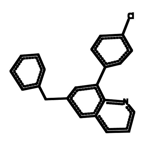 Clc1ccc(-c2cc(Cc3ccccc3)cc3cccnc23)cc1